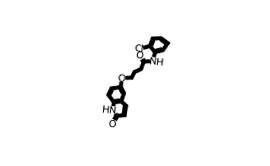 O=C(CCCOc1ccc2[nH]c(=O)ccc2c1)Nc1ccccc1Cl